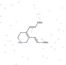 CO/C=C/C1=C(/C=C/OC)CNCC1